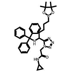 CC1(C)OB(CCCCC(NC(c2ccccc2)(c2ccccc2)c2ccccc2)c2nnnn2CC(=O)NC2CC2)OC1(C)C